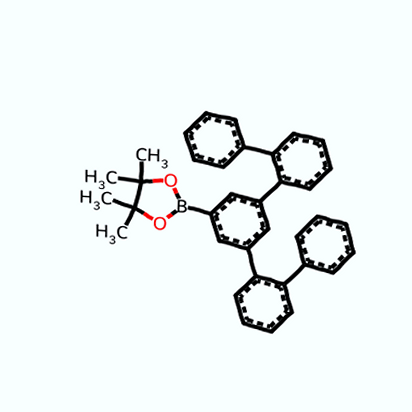 CC1(C)OB(c2cc(-c3ccccc3-c3ccccc3)cc(-c3ccccc3-c3ccccc3)c2)OC1(C)C